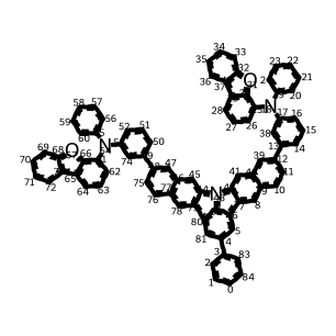 c1ccc(-c2cc3c4cc5ccc(-c6cccc(N(c7ccccc7)c7cccc8c7oc7ccccc78)c6)cc5cc4n4c5cc6cc(-c7cccc(N(c8ccccc8)c8cccc9c8oc8ccccc89)c7)ccc6cc5c(c2)c34)cc1